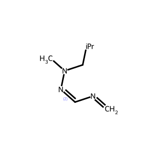 C=N/C=N\N(C)CC(C)C